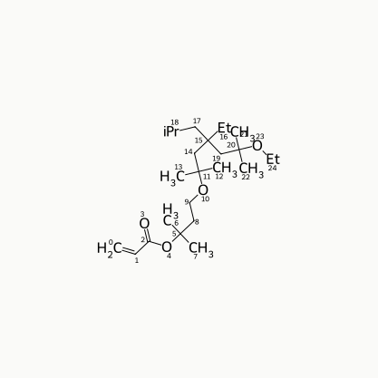 C=CC(=O)OC(C)(C)CCOC(C)(C)CC(CC)(CC(C)C)CC(C)(C)OCC